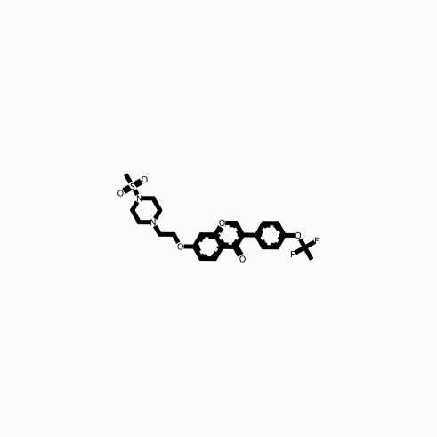 CC(F)(F)Oc1ccc(-c2coc3cc(OCCN4CCN(S(C)(=O)=O)CC4)ccc3c2=O)cc1